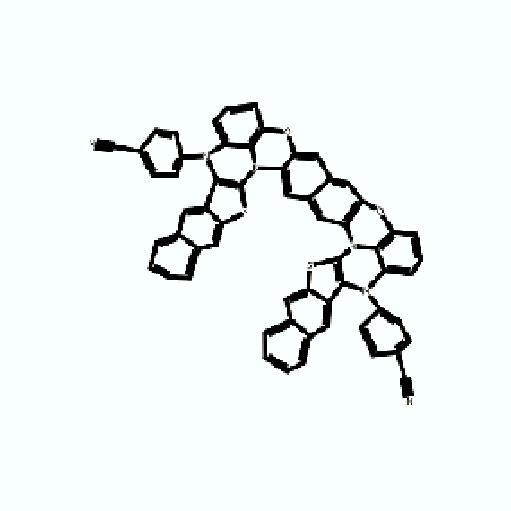 N#Cc1ccc(N2c3cccc4c3B(c3cc5cc6c(cc5cc3O4)Oc3cccc4c3B6c3sc5cc6ccccc6cc5c3N4c3ccc(C#N)cc3)c3sc4cc5ccccc5cc4c32)cc1